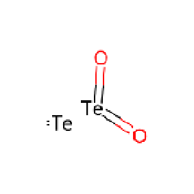 O=[Te]=O.[Te]